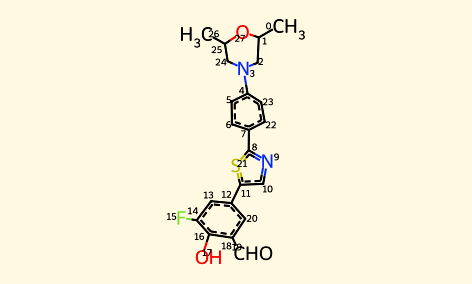 CC1CN(c2ccc(-c3ncc(-c4cc(F)c(O)c(C=O)c4)s3)cc2)CC(C)O1